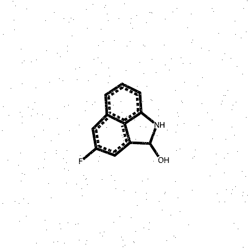 OC1Nc2cccc3cc(F)cc1c23